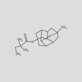 CCC(C)(C)C(=O)OC12CC3C4CC5(C)CC3C(C1)C(C5)C4C2